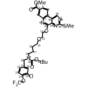 COC(=O)c1ccc2c(c1)nc(OCCOCCCCN(Cc1ccc(OC(F)(F)F)c(Cl)c1)C(=O)OC(C)(C)C)c1nc(SC)ncc12